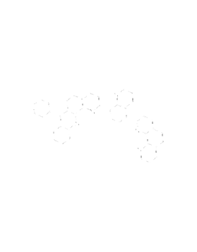 c1ccc(-c2c3ccccc3nc3c2ccc2ccc(-c4ccc(-c5ccc6ccc7cccnc7c6n5)c5cccnc45)nc23)cc1